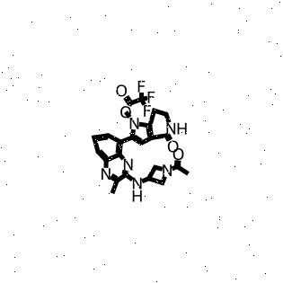 CC(=O)N1CC(Nc2nc3c(-c4cc5c(n4OC(=O)C(F)(F)F)CCNC5=O)cccc3nc2C)C1